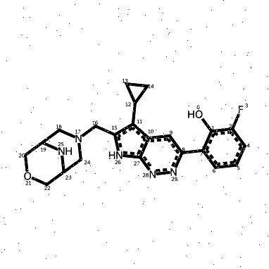 Oc1c(F)cccc1-c1cc2c(C3CC3)c(CN3CC4COCC(C3)N4)[nH]c2nn1